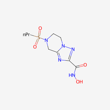 CCCS(=O)(=O)N1CCn2nc(C(=O)NO)nc2C1